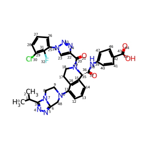 CC(C)c1nnc2n1CCN(c1cccc3c1CCN(C(=O)c1cn(-c4cccc(Cl)c4F)nn1)[C@@H]3C(=O)Nc1ccc(C(=O)O)cc1)C2